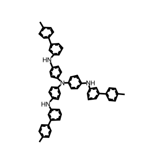 Cc1ccc(-c2cccc(Nc3ccc(N(c4ccc(Nc5cccc(-c6ccc(C)cc6)c5)cc4)c4ccc(Nc5cccc(-c6ccc(C)cc6)c5)cc4)cc3)c2)cc1